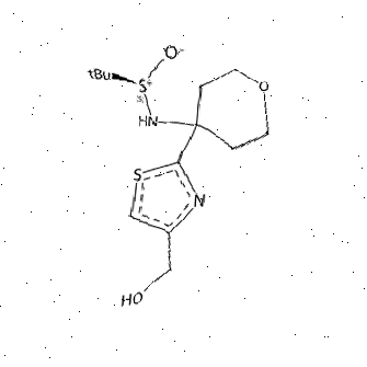 CC(C)(C)[S@@+]([O-])NC1(c2nc(CO)cs2)CCOCC1